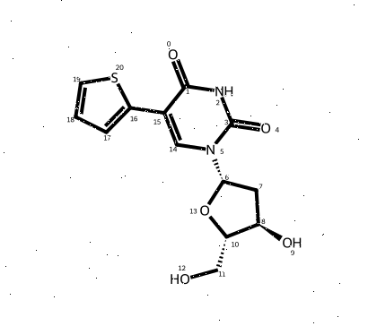 O=c1[nH]c(=O)n([C@@H]2C[C@@H](O)[C@H](CO)O2)cc1-c1cccs1